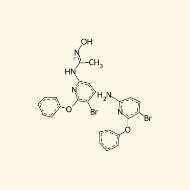 C/C(=N\O)Nc1ccc(Br)c(Oc2ccccc2)n1.Nc1ccc(Br)c(Oc2ccccc2)n1